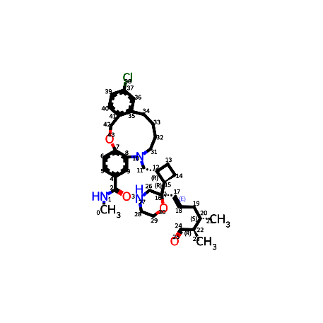 CNC(=O)c1ccc2c(c1)N(C[C@@H]1CC[C@H]1[C@]1(/C=C/C[C@H](C)[C@@H](C)C=O)CNCCO1)CCCCc1cc(Cl)ccc1CO2